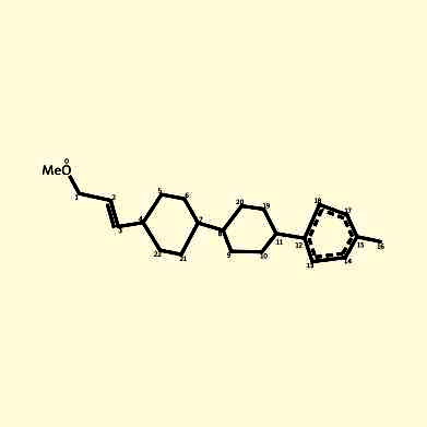 COCC=CC1CCC(C2CCC(c3ccc(C)cc3)CC2)CC1